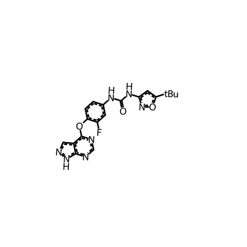 CC(C)(C)c1cc(NC(=O)Nc2ccc(Oc3ncnc4[nH]ncc34)c(F)c2)no1